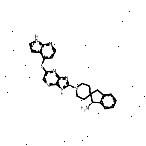 N[C@@H]1c2ccccc2CC12CCN(c1nc3nc(Sc4ccnc5[nH]ccc45)cnc3[nH]1)CC2